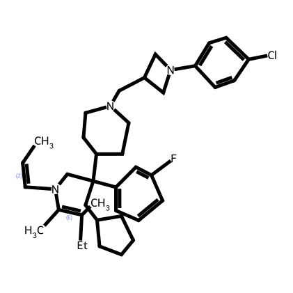 C/C=C\N(CC(CC1CCCC1)(c1cccc(F)c1)C1CCN(CC2CN(c3ccc(Cl)cc3)C2)CC1)/C(C)=C(\C)CC